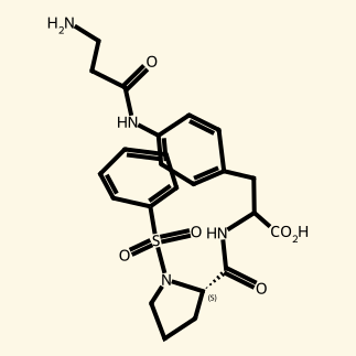 NCCC(=O)Nc1ccc(CC(NC(=O)[C@@H]2CCCN2S(=O)(=O)c2ccccc2)C(=O)O)cc1